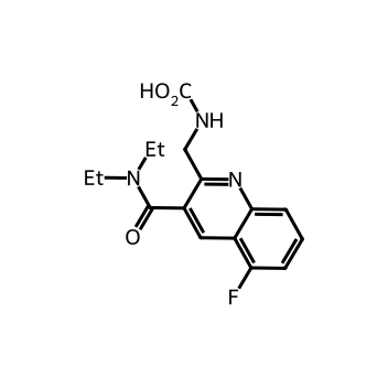 CCN(CC)C(=O)c1cc2c(F)cccc2nc1CNC(=O)O